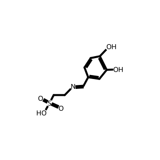 O=S(=O)(O)CCN=Cc1ccc(O)c(O)c1